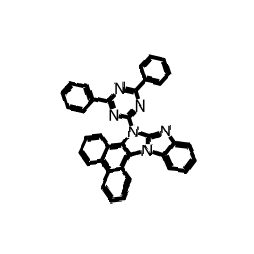 c1ccc(-c2nc(-c3ccccc3)nc(-n3c4c5ccccc5c5ccccc5c4n4c5ccccc5nc34)n2)cc1